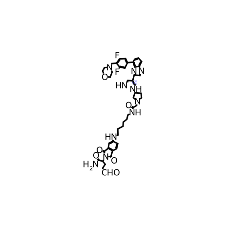 N=C/C(=C\NC1CCN(CC(=O)NCCCCCCNc2ccc3c(c2)C(=O)N(C(CCC=O)C(N)=O)C3=O)C1)c1cnc2cccc(-c3cc(F)c(CN4CCOCC4)c(F)c3)c2n1